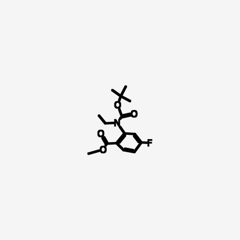 CCN(C(=O)OC(C)(C)C)c1cc(F)ccc1C(=O)OC